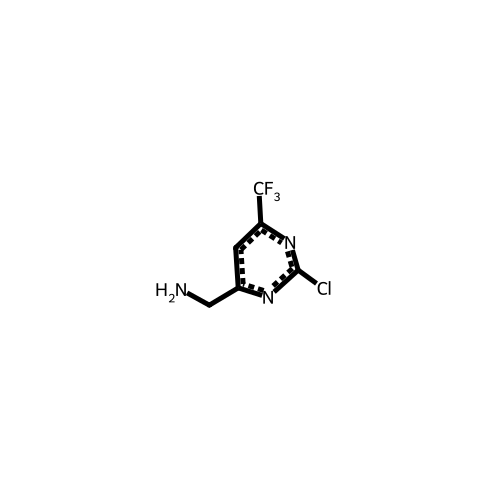 NCc1cc(C(F)(F)F)nc(Cl)n1